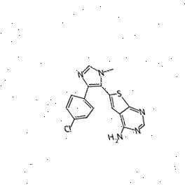 Cn1cnc(-c2ccc(Cl)cc2)c1-c1cc2c(N)ncnc2s1